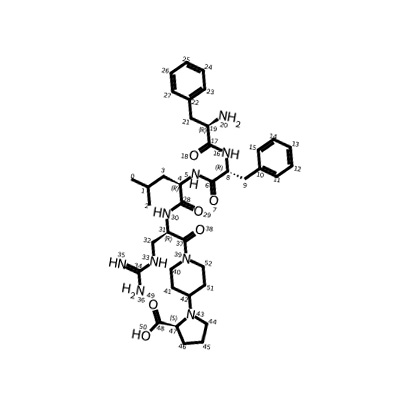 CC(C)C[C@@H](NC(=O)[C@@H](Cc1ccccc1)NC(=O)[C@H](N)Cc1ccccc1)C(=O)N[C@H](CNC(=N)N)C(=O)N1CCC(N2CCC[C@H]2C(=O)O)CC1